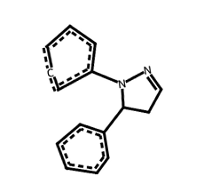 C1=NN(c2ccccc2)C(c2ccccc2)C1